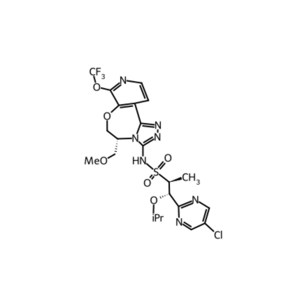 COC[C@@H]1COc2c(ccnc2OC(F)(F)F)-c2nnc(NS(=O)(=O)[C@@H](C)[C@@H](OC(C)C)c3ncc(Cl)cn3)n21